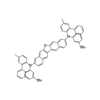 Cc1ccc(N(c2cccc(C(C)(C)C)c2)c2ccc3cc4c(cc3c2)oc2cc3cc(N(c5cccc(C(C)(C)C)c5)c5ccc(C)cc5-c5ccccc5)ccc3cc24)c(-c2ccccc2)c1